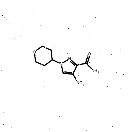 NC(=O)c1nn(C2CCOCC2)cc1[N+](=O)[O-]